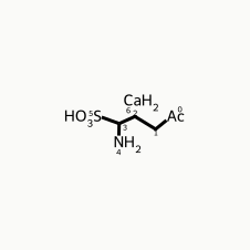 CC(=O)CCC(N)S(=O)(=O)O.[CaH2]